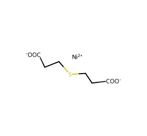 O=C([O-])CCSCCC(=O)[O-].[Ni+2]